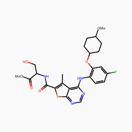 COC(=O)C(CO)NC(=O)c1sc2ncnc(Nc3ccc(F)cc3OC3CCC(OC)CC3)c2c1C